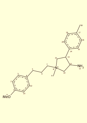 COc1ccc(CCC[N+]2(C)CC(N)C(c3ccc(C)cc3)C2)cc1